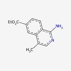 CCOC(=O)c1ccc2c(N)ncc(C)c2c1